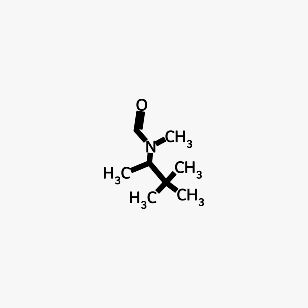 CC(N(C)C=O)C(C)(C)C